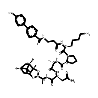 CCCCc1ccc(-c2ccc(C(=O)NCCC(=O)N[C@@H](CCCCN)C(=O)N3CCC[C@H]3C(=O)N[C@@H](C)C(=O)N[C@@H](CC(N)=O)C(=O)N[C@@H](C)B3OC4C[C@@H]5C[C@@H](C5(C)C)[C@]4(C)O3)cc2)cc1